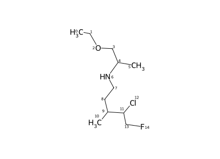 CCOCC(C)NCCC(C)C(Cl)CF